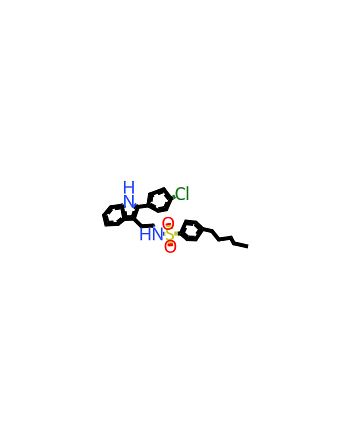 CCCCCc1ccc(S(=O)(=O)NCCc2c(-c3ccc(Cl)cc3)[nH]c3ccccc23)cc1